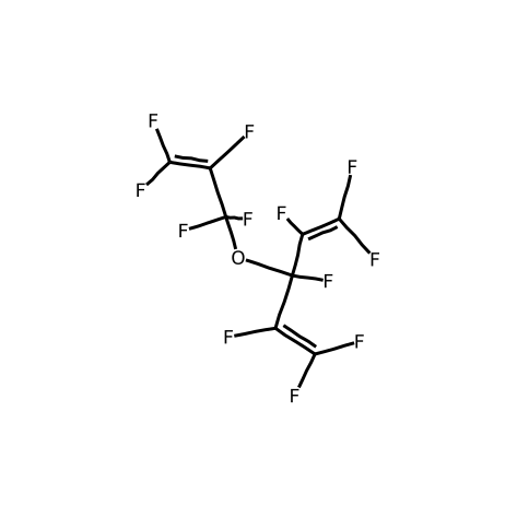 FC(F)=C(F)C(F)(F)OC(F)(C(F)=C(F)F)C(F)=C(F)F